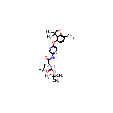 CC[C@@H](NC(=O)OC(C)(C)C)C(=O)Nc1cnc(Oc2ccc(C)c3c2C(C)(C)CO3)cn1